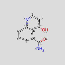 NC(=O)c1cccc2nccc(O)c12